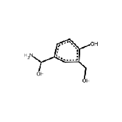 NC(O)c1ccc(O)c(CO)c1